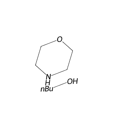 C1COCCN1.CCCCO